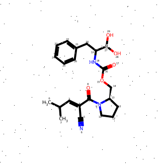 CC(C)C=C(C#N)C(=O)N1CCC[C@@H]1COC(=O)NC(Cc1ccccc1)B(O)O